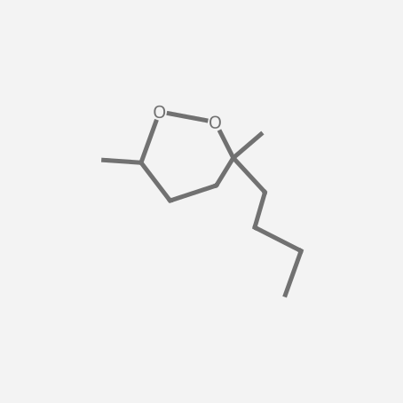 CCCCC1(C)CCC(C)OO1